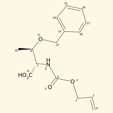 C=CCOC(=O)N[C@H](C(=O)O)[C@@H](C)OCc1ccccc1